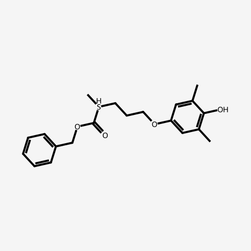 Cc1cc(OCCC[SH](C)C(=O)OCc2ccccc2)cc(C)c1O